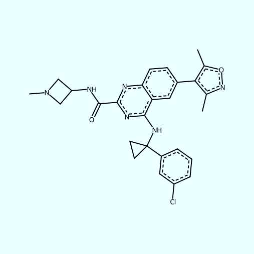 Cc1noc(C)c1-c1ccc2nc(C(=O)NC3CN(C)C3)nc(NC3(c4cccc(Cl)c4)CC3)c2c1